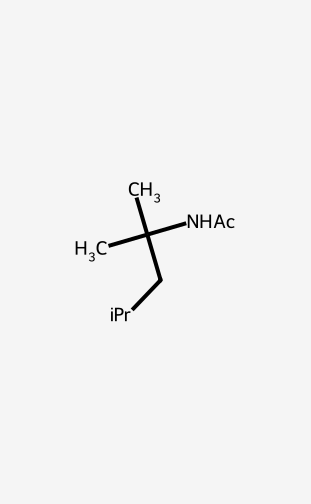 CC(=O)NC(C)(C)CC(C)C